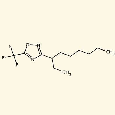 CCCCCCC(CC)c1noc(C(F)(F)F)n1